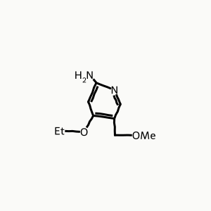 CCOc1cc(N)ncc1COC